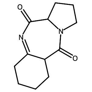 O=C1N=C2CCCCC2C(=O)N2CCCC12